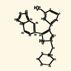 Cc1cccc(-c2nc(CN3CCCCC3)[nH]c2-c2ccn3ncnc3c2)n1